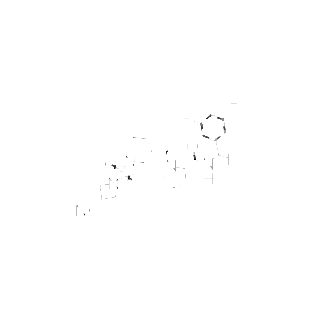 CCC(NC(=O)[C@H]1CCCN1C(=O)[C@H]1CCCN(S(=O)(=O)N2CC(C#N)C2)C1)c1cc(F)cc(F)c1